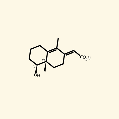 CC1=C2CCC[C@H](O)[C@@]2(C)CCC1=CC(=O)O